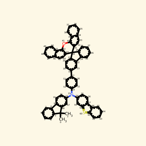 CC1(C)c2ccccc2-c2ccc(N(c3ccc(-c4ccc5c(c4)-c4ccccc4C54c5ccc6ccccc6c5Oc5c4ccc4ccccc54)cc3)c3ccc4c(c3)sc3ccccc34)cc21